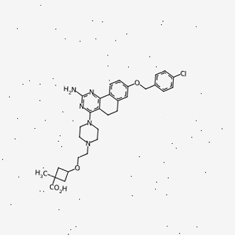 CC1(C(=O)O)CC(OCCN2CCN(c3nc(N)nc4c3CCc3cc(OCc5ccc(Cl)cc5)ccc3-4)CC2)C1